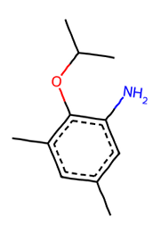 Cc1cc(C)c(OC(C)C)c(N)c1